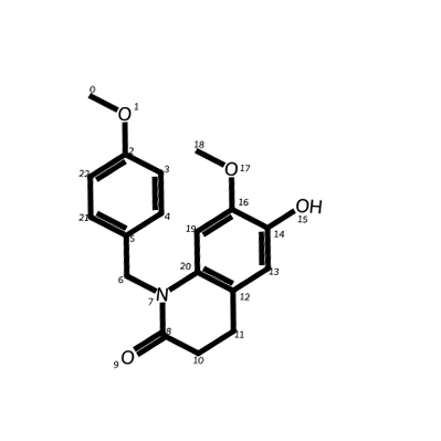 COc1ccc(CN2C(=O)CCc3cc(O)c(OC)cc32)cc1